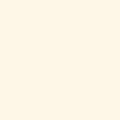 CC(C)(C)c1ccc2c(c1)-c1cc(C(C)(C)C)c[c]([Zr]([C]3=CC=CC3)=[C](c3cccc(Br)c3)c3cccc(Br)c3)c1C2